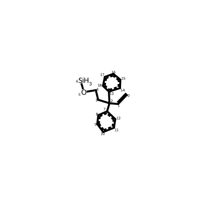 C=CC(CCO[SiH3])(c1ccccc1)c1ccccc1